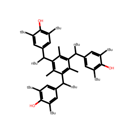 CCCCC(c1cc(C(C)(C)C)c(O)c(C(C)(C)C)c1)c1c(C)c(C(CCCC)c2cc(C(C)(C)C)c(O)c(C(C)(C)C)c2)c(C)c(C(CCCC)c2cc(C(C)(C)C)c(O)c(C(C)(C)C)c2)c1C